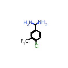 NC(N)c1ccc(Cl)c(C(F)(F)F)c1